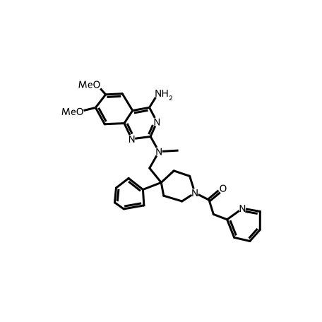 COc1cc2nc(N(C)CC3(c4ccccc4)CCN(C(=O)Cc4ccccn4)CC3)nc(N)c2cc1OC